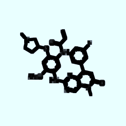 C=CC(=O)Nc1cc(Nc2ncc3c(n2)c(-c2cccc(F)c2)cc(=O)n3C)c(OC)cc1OC1CCN(C)C1